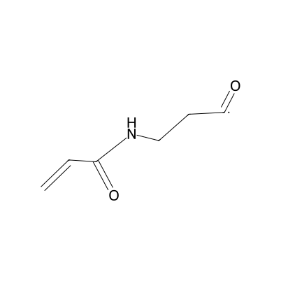 C=CC(=O)NCC[C]=O